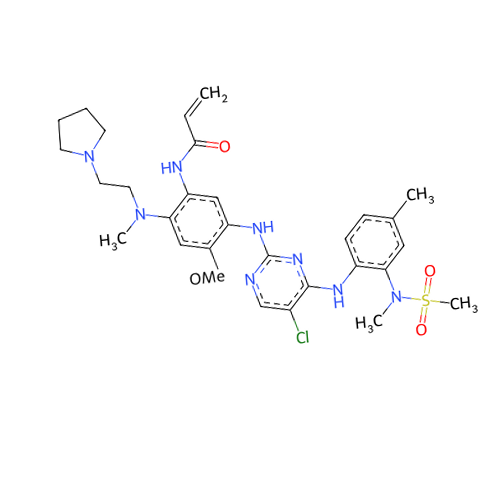 C=CC(=O)Nc1cc(Nc2ncc(Cl)c(Nc3ccc(C)cc3N(C)S(C)(=O)=O)n2)c(OC)cc1N(C)CCN1CCCC1